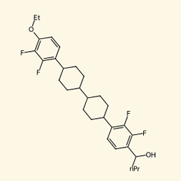 CCCC(O)c1ccc(C2CCC(C3CCC(c4ccc(OCC)c(F)c4F)CC3)CC2)c(F)c1F